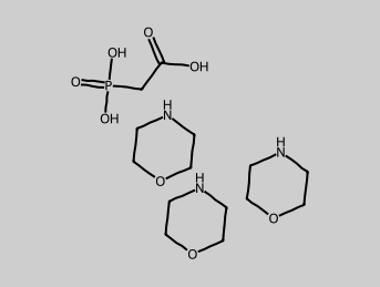 C1COCCN1.C1COCCN1.C1COCCN1.O=C(O)CP(=O)(O)O